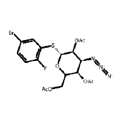 CC(=O)OCC1O[C@H](Sc2cc(Br)ccc2F)C(OC(C)=O)[C@@H](N=[N+]=[N-])[C@H]1OC(C)=O